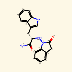 NC(=O)[C@H](Cc1c[nH]c2ccccc12)NN1C(=O)Cc2ccccc21